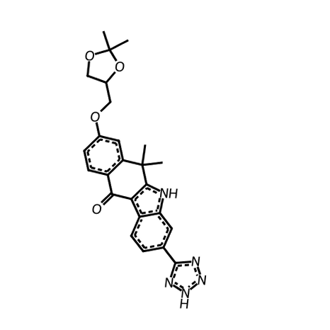 CC1(C)OCC(COc2ccc3c(c2)C(C)(C)c2[nH]c4cc(-c5nn[nH]n5)ccc4c2C3=O)O1